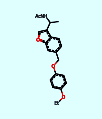 CCOc1ccc(OCc2ccc3c(C(C)NC(C)=O)coc3c2)cc1